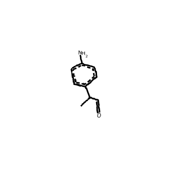 CC(C=O)c1ccc(N)cc1